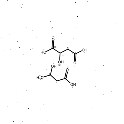 CC(O)CC(=O)O.O=C(O)CC(O)C(=O)O